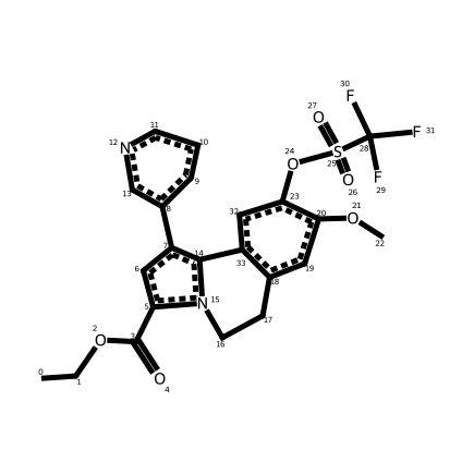 CCOC(=O)c1cc(-c2cccnc2)c2n1CCc1cc(OC)c(OS(=O)(=O)C(F)(F)F)cc1-2